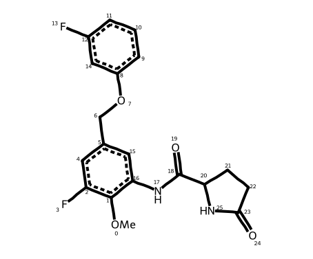 COc1c(F)cc(COc2cccc(F)c2)cc1NC(=O)C1CCC(=O)N1